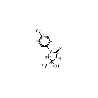 CC1(C)NC(=S)N(c2ccc(Cl)cc2)N1